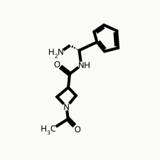 CC(=O)N1CC(C(=O)N[C@H](CN)c2ccccc2)C1